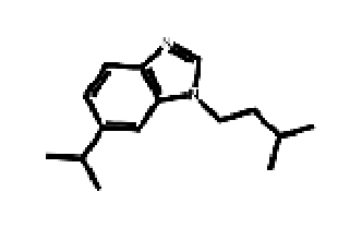 CC(C)CCn1cnc2ccc(C(C)C)cc21